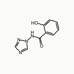 O=C(Nn1cncn1)c1ccccc1O